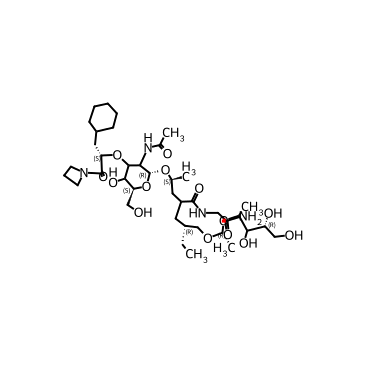 CC[C@@H](CO[C@@H](C)OC(C)C(O)[C@H](O)CO)CC(C[C@H](C)O[C@@H]1O[C@@H](CO)C(O)C(O[C@@H](CC2CCCCC2)C(=O)N2CCC2)C1NC(C)=O)C(=O)NCC(N)=O